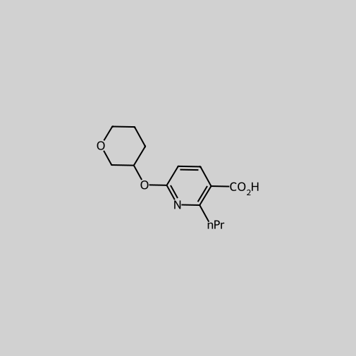 CCCc1nc(OC2CCCOC2)ccc1C(=O)O